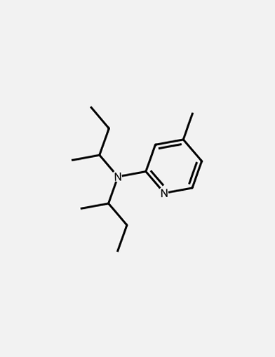 CCC(C)N(c1cc(C)ccn1)C(C)CC